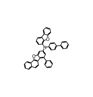 c1ccc(-c2ccc(N(c3cc(-c4ccccc4)c4c(c3)oc3c5ccccc5ccc34)c3cccc4c3oc3ccccc34)cc2)cc1